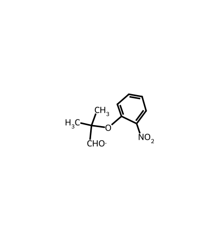 CC(C)([C]=O)Oc1ccccc1[N+](=O)[O-]